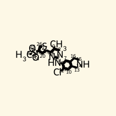 Cc1cnc(Nc2cc3c(cc2Cl)CNCC3)nc1-c1cc(S(C)(=O)=O)cs1